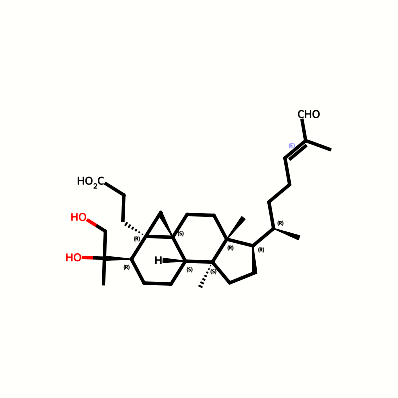 C/C(C=O)=C\CC[C@@H](C)[C@H]1CC[C@@]2(C)[C@@H]3CC[C@@H](C(C)(O)CO)[C@@]4(CCC(=O)O)C[C@@]34CC[C@]12C